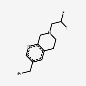 CC(C)Cc1cnc2c(c1)CCN(CC(F)F)C2